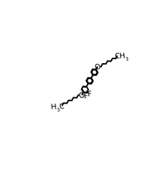 CCCCCCCCOC1=CC=C(c2ccc(-c3ccc(OCCCCCCCC)cc3)cc2)CC1(F)F